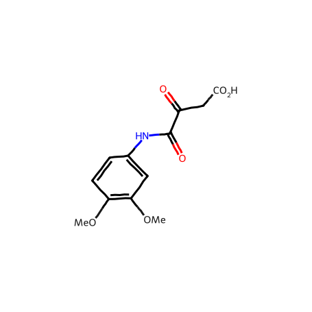 COc1ccc(NC(=O)C(=O)CC(=O)O)cc1OC